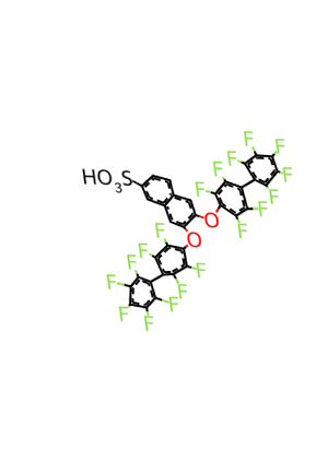 O=S(=O)(O)c1ccc2cc(Oc3c(F)c(F)c(-c4c(F)c(F)c(F)c(F)c4F)c(F)c3F)c(Oc3c(F)c(F)c(-c4c(F)c(F)c(F)c(F)c4F)c(F)c3F)cc2c1